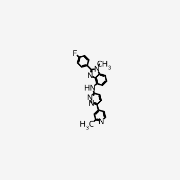 Cc1cc(-c2ccc(Nc3cccc4c3nc(-c3ccc(F)cc3)n4C)nn2)ccn1